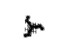 O=C(Nc1ccc(-c2cc(-c3ccccc3)ccn2)cc1)c1cc(C(=O)Nc2ccc(-c3cc(-c4ccccc4)ccn3)cc2)cc(C(=O)Nc2ccc(-c3cc(-c4ccccc4)ccn3)cc2)c1